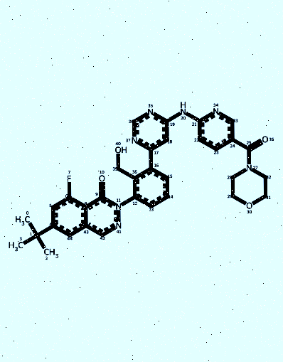 CC(C)(C)c1cc(F)c2c(=O)n(-c3cccc(-c4cc(Nc5ccc(C(=O)N6CCOCC6)cn5)ncn4)c3CO)ncc2c1